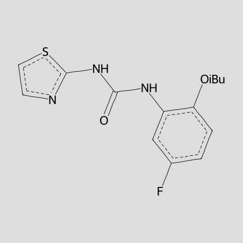 CC(C)COc1ccc(F)cc1NC(=O)Nc1nccs1